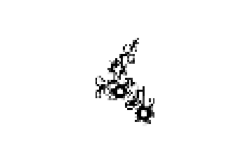 CCOC(=O)CN1CCN(CC[N+](C)(C(C)=O)c2ccc(NC(=O)Nc3ccccc3C)c(OC)c2)CC1